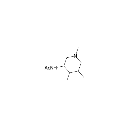 CC(=O)NC1CN(C)CC(C)C1C